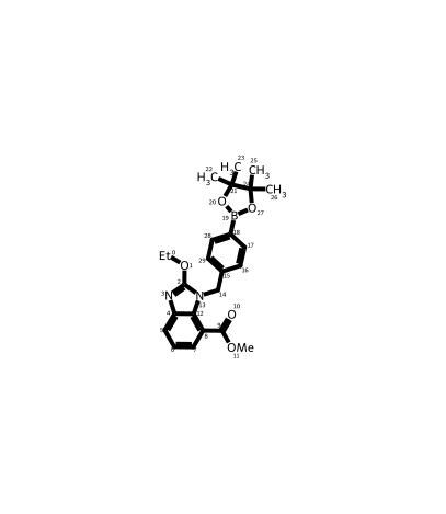 CCOc1nc2cccc(C(=O)OC)c2n1Cc1ccc(B2OC(C)(C)C(C)(C)O2)cc1